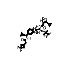 CC(CF)(OC[C@@H](NC(=O)c1nonc1C1CC1)c1nc2ccc([C@H](NC(=O)CC3CC(F)(F)C3)C3CC3)cc2[nH]1)C(F)F